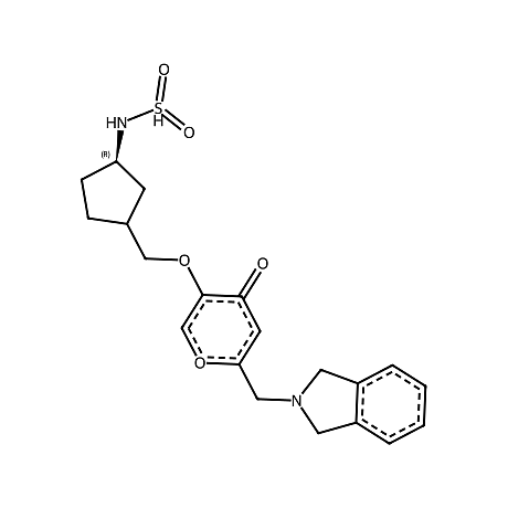 O=c1cc(CN2Cc3ccccc3C2)occ1OCC1CC[C@@H](N[SH](=O)=O)C1